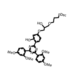 CCCCCCCCCCCCCOCC(O)COc1ccc(-c2nc(-c3ccc(OC)cc3OC)nc(-c3ccc(OC)cc3OC)n2)c(O)c1